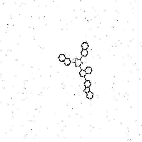 c1ccc2cc(C3=NC(c4ccc(-c5ccc6c(c5)oc5ccccc56)c5ccccc45)=NC(c4ccc5ccccc5c4)N3)ccc2c1